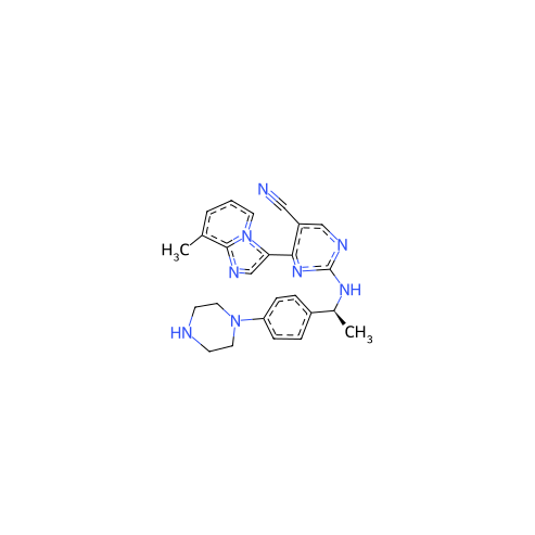 Cc1cccn2c(-c3nc(N[C@@H](C)c4ccc(N5CCNCC5)cc4)ncc3C#N)cnc12